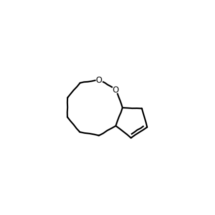 C1=CC2CCCCCOOC2C1